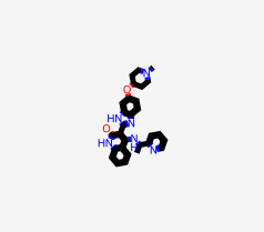 CC(Nc1c(-c2nc3ccc(OC4CCN(C)CC4)cc3[nH]2)c(=O)[nH]c2ccccc12)c1ccccn1